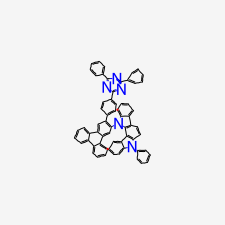 c1ccc(-c2nc(-c3ccccc3)nc(-c3ccc(-c4cc5c6ccccc6c6ccccc6c5cc4-n4c5ccccc5c5ccc6c(c7ccccc7n6-c6ccccc6)c54)cc3)n2)cc1